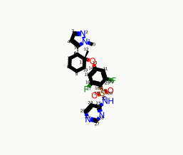 Cn1nccc1[C@H]1CCCC[C@@]1(C)Oc1cc(F)c(S(=O)(=O)Nc2ccncn2)c(F)c1